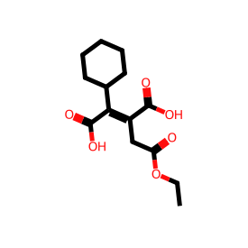 CCOC(=O)C/C(C(=O)O)=C(\C(=O)O)C1CCCCC1